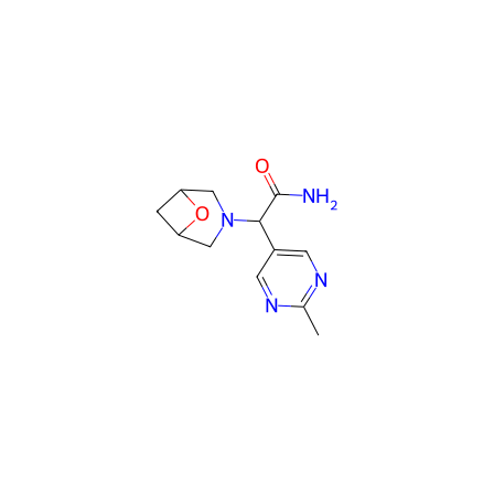 Cc1ncc(C(C(N)=O)N2CC3CC(C2)O3)cn1